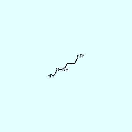 CCCCCNOCCC